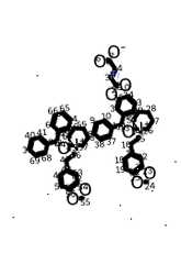 O=C([O-])/C=C/C(=O)[O-].c1ccc(C(O[N+]2(CCc3ccc4c(c3)OCO4)CCCCC2)c2ccccc2)cc1.c1ccc(C(O[N+]2(CCc3ccc4c(c3)OCO4)CCCCC2)c2ccccc2)cc1